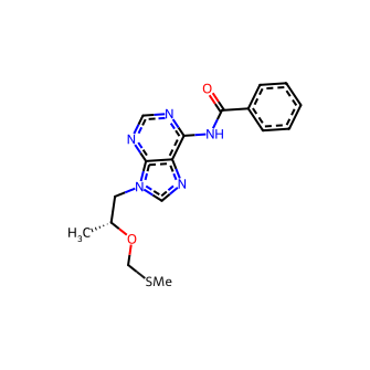 CSCO[C@H](C)Cn1cnc2c(NC(=O)c3ccccc3)ncnc21